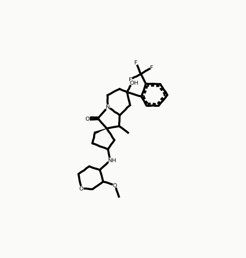 COC1COCCC1NC1CC[C@@]2(C1)C(=O)N1CCC(O)(c3ccccc3C(F)(F)F)CC1C2C